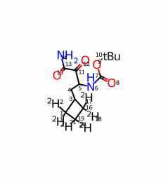 [2H]C1([2H])C(CC(NC(=O)OC(C)(C)C)C(=O)C(N)=O)C([2H])([2H])C1([2H])[2H]